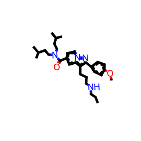 CCCNCCCc1c(-c2ccc(OC)cc2)nn2ccc(C(=O)N(CCC(C)C)CCC(C)C)cc12